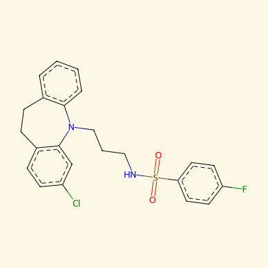 O=S(=O)(NCCCN1c2ccccc2CCc2ccc(Cl)cc21)c1ccc(F)cc1